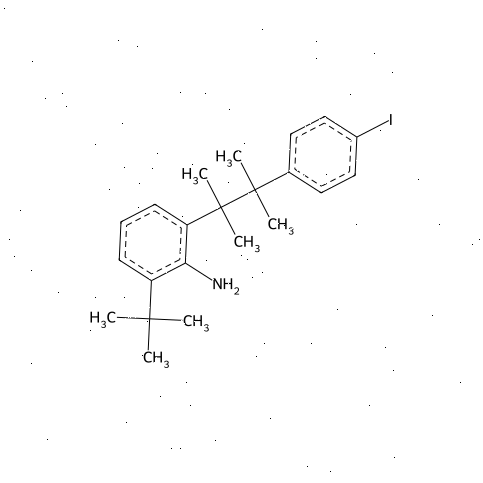 CC(C)(C)c1cccc(C(C)(C)C(C)(C)c2ccc(I)cc2)c1N